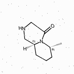 C[C@@H]1CCC[C@H]2CNCC(=O)N21